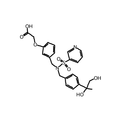 CC(O)(CO)c1ccc(CN(Cc2cccc(OCC(=O)O)c2)S(=O)(=O)c2cccnc2)cc1